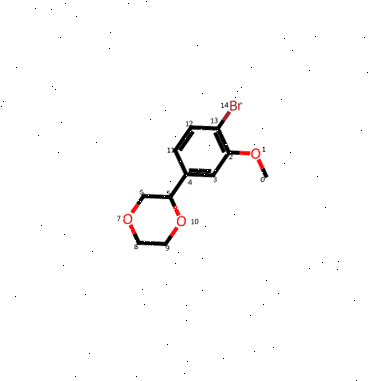 COc1cc(C2COCCO2)ccc1Br